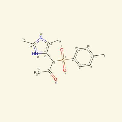 Cc1ccc(S(=O)(=O)C(C(=O)C(F)(F)F)c2[nH]c(C)nc2C)cc1